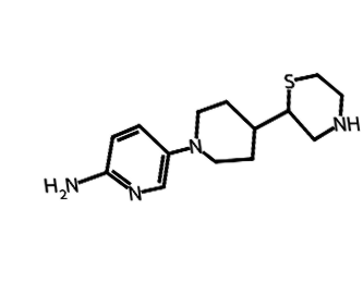 Nc1ccc(N2CCC(C3CNCCS3)CC2)cn1